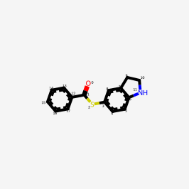 O=C(Sc1ccc2c(c1)CCN2)c1ccccc1